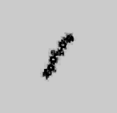 O=C(NCCC1CCN(Cc2csnn2)CC1)C1CCN(c2ccc(OC(F)(F)F)cc2)CC1